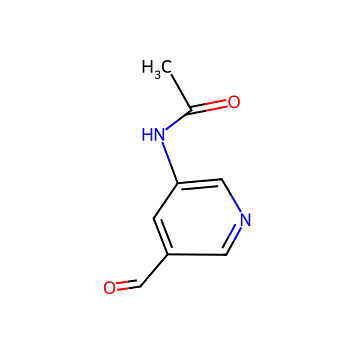 CC(=O)Nc1cncc(C=O)c1